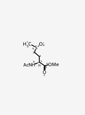 COC(=O)[C@H](CC[S+](C)[O-])NC(C)=O